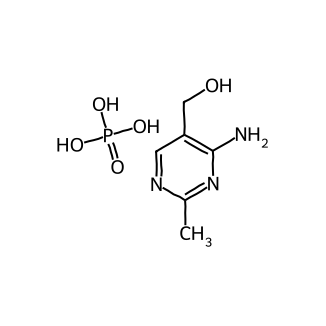 Cc1ncc(CO)c(N)n1.O=P(O)(O)O